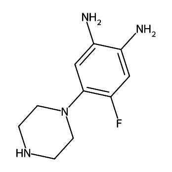 Nc1cc(F)c(N2CCNCC2)cc1N